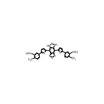 CCCCCCCCc1cc(-c2ccc(-c3c4c(c(-c5ccc(-c6ccc(C(F)(F)F)c(CCCCCCCC)c6)s5)c5nsnc35)NSN4)s2)ccc1C(F)(F)F